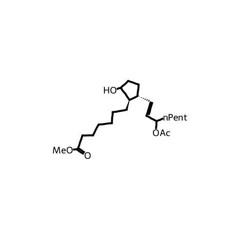 CCCCCC(C=C[C@H]1CCC(O)[C@@H]1CCCCCCC(=O)OC)OC(C)=O